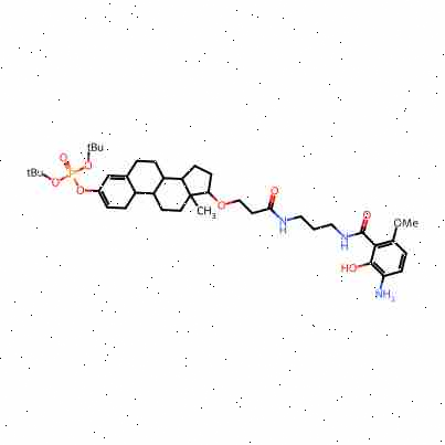 COc1ccc(N)c(O)c1C(=O)NCCCNC(=O)CCOC1CCC2C3CCC4=CC(OP(=O)(OC(C)(C)C)OC(C)(C)C)=CCC4C3CCC12C